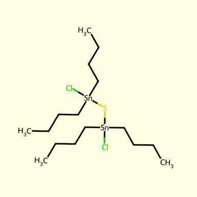 CCC[CH2][Sn]([Cl])([CH2]CCC)[S][Sn]([Cl])([CH2]CCC)[CH2]CCC